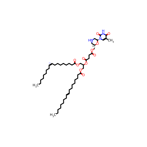 CCCCCCCCC=CCCCCCCCC(=O)OCC(COC(=O)CCCCCCC/C=C\CCCCCCCC)OC(=O)CCC(=O)OC[C@@H]1CNC[C@H](n2cc(C)c(=O)[nH]c2=O)O1